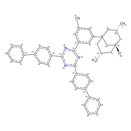 C[C@@H]1C[C@@H]2C[C@H](C)CC(c3cc(C#N)cc(-c4nc(-c5ccc(-c6ccccc6)cc5)nc(-c5ccc(-c6ccccc6)cc5)n4)c3)(C1)C2